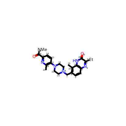 CCc1nc2ccc(CN3CCN(c4ccc(C(=O)NC)nc4C)CC3)c(C)c2[nH]c1=O